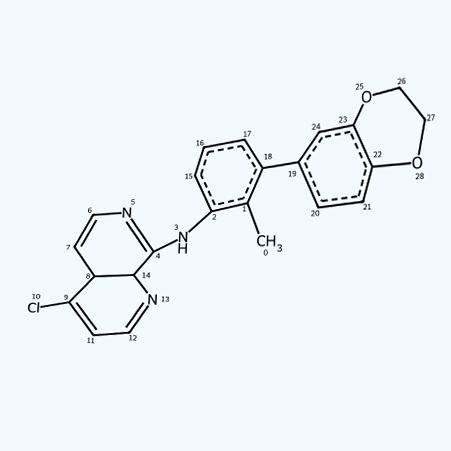 Cc1c(NC2=NC=CC3C(Cl)=CC=NC23)cccc1-c1ccc2c(c1)OCCO2